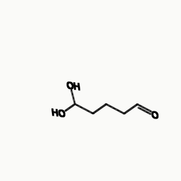 O=CCCCC(O)O